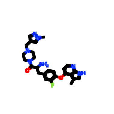 Cc1c[nH]c2nccc(Oc3ccc(CC(N)C(=O)N4CCN(Cc5cnn(C)c5)CC4)cc3F)c12